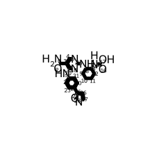 NC(=O)c1cnc(NC2CCCCC2NC(=O)O)nc1Nc1ccc(-c2ccno2)cc1